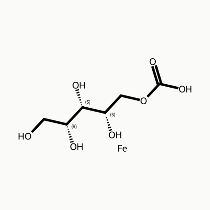 O=C(O)OC[C@H](O)[C@@H](O)[C@H](O)CO.[Fe]